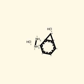 Cl.Cl.NN.c1ccc2c(c1)C2